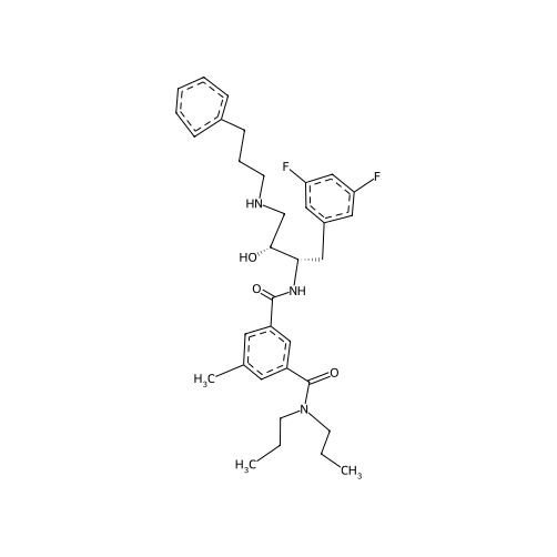 CCCN(CCC)C(=O)c1cc(C)cc(C(=O)N[C@@H](Cc2cc(F)cc(F)c2)[C@H](O)CNCCCc2ccccc2)c1